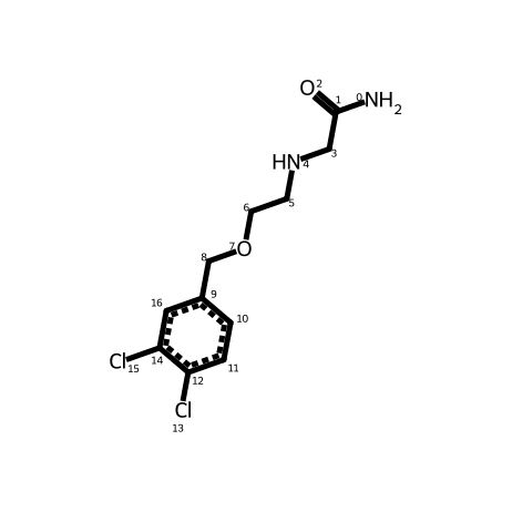 NC(=O)CNCCOCc1ccc(Cl)c(Cl)c1